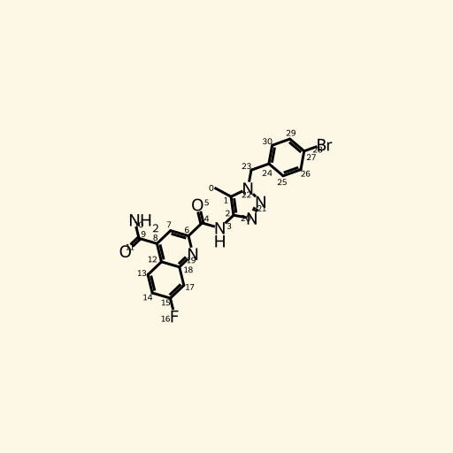 Cc1c(NC(=O)c2cc(C(N)=O)c3ccc(F)cc3n2)nnn1Cc1ccc(Br)cc1